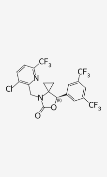 O=C1O[C@H](c2cc(C(F)(F)F)cc(C(F)(F)F)c2)C2(CC2)N1Cc1nc(C(F)(F)F)ccc1Cl